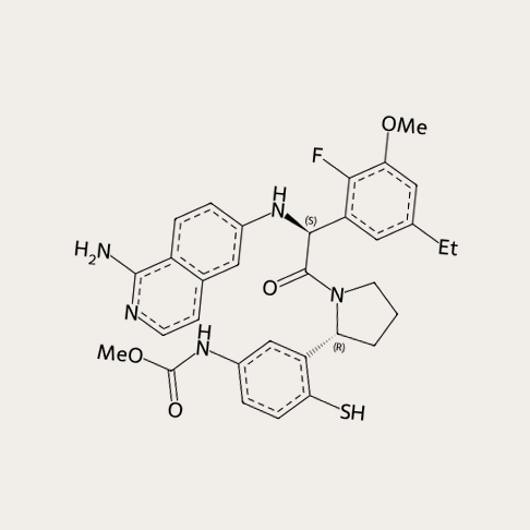 CCc1cc(OC)c(F)c([C@H](Nc2ccc3c(N)nccc3c2)C(=O)N2CCC[C@@H]2c2cc(NC(=O)OC)ccc2S)c1